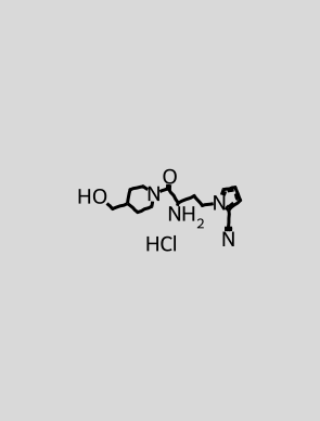 Cl.N#Cc1cccn1CCC(N)C(=O)N1CCC(CO)CC1